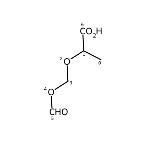 CC(OCOC=O)C(=O)O